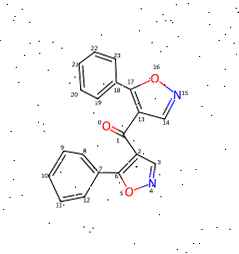 O=C(c1cnoc1-c1ccccc1)c1cnoc1-c1ccccc1